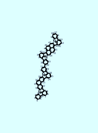 c1ccc2c(c1)c1cccc3c4cc5c(ccc6cc7c(cc65)c5cccc6c8cc(-c9ccc%10c(c9)c9cccc%11c%12c%13ccc%14cc%15c(c%16ccc(cc%12n%10c9%11)c%13c%14%16)c9cccc%10c%11ccccc%11n%15c%109)ccc8n7c65)cc4n2c13